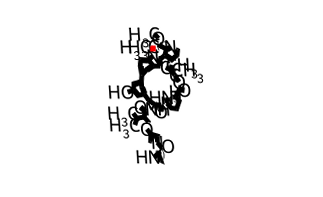 CCn1c(-c2cccnc2[C@H](C)OC)c2c3cc(ccc31)-c1cc(O)cc(c1)C[C@H](NC(=O)C(COC1CN(C(=O)[C@H]3CN3)C1)C(C)C)C(=O)N1CCC[C@H](N1)C(=O)OCC(C)(C)C2